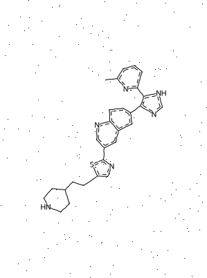 Cc1cccc(-c2[nH]cnc2-c2ccc3ncc(-c4ncc(CCC5CCNCC5)s4)cc3c2)n1